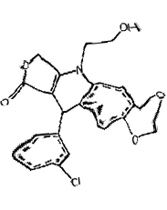 O=C1OCC2=C1C(c1cccc(Cl)c1)c1cc3c(cc1N2CCO)OCO3